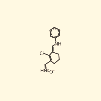 [O-]/[NH+]=C\C1=C(Cl)C(=C/Nc2ccccc2)/CCC1